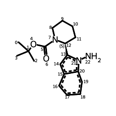 CC(C)(C)OC(=O)N1CCCC[C@H]1c1cc2ccccc2n1N